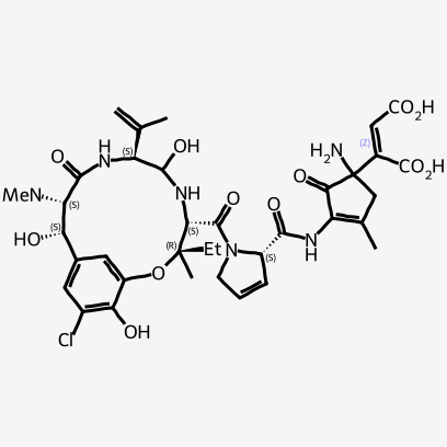 C=C(C)[C@@H]1NC(=O)[C@@H](NC)[C@@H](O)c2cc(Cl)c(O)c(c2)O[C@](C)(CC)[C@@H](C(=O)N2CC=C[C@H]2C(=O)NC2=C(C)CC(N)(/C(=C/C(=O)O)C(=O)O)C2=O)NC1O